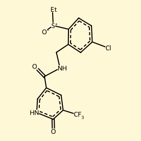 CC[S+]([O-])c1ccc(Cl)cc1CNC(=O)c1c[nH]c(=O)c(C(F)(F)F)c1